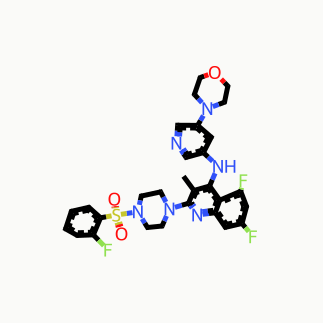 Cc1c(N2CCN(S(=O)(=O)c3ccccc3F)CC2)nc2cc(F)cc(F)c2c1Nc1cncc(N2CCOCC2)c1